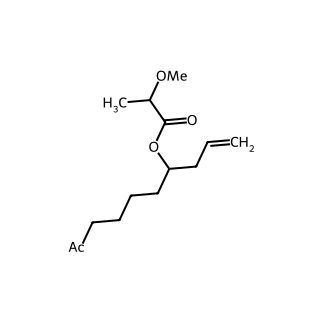 C=CCC(CCCCC(C)=O)OC(=O)C(C)OC